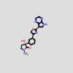 CN1CC[C@@](O)(c2cccc(-c3csc(-c4c[nH]c5nccnc45)n3)c2)C1=O